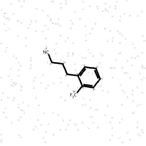 N#CCCCc1ccccc1C(F)(F)F